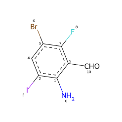 Nc1c(I)cc(Br)c(F)c1C=O